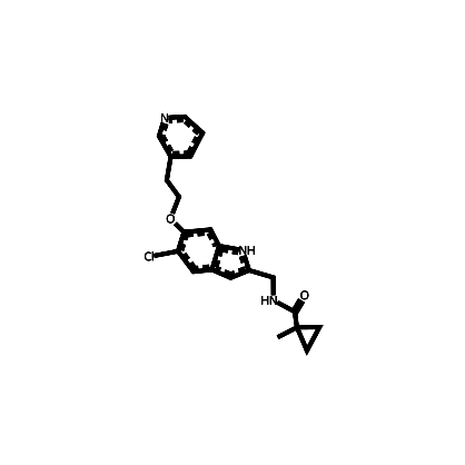 CC1(C(=O)NCc2cc3cc(Cl)c(OCCc4cccnc4)cc3[nH]2)CC1